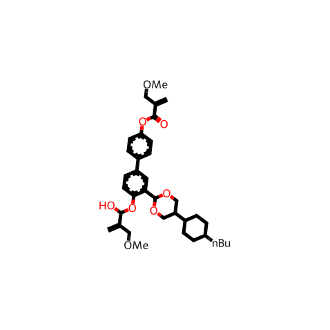 C=C(COC)C(=O)Oc1ccc(-c2ccc(OC(O)C(=C)COC)c(C3OCC(C4CCC(CCCC)CC4)CO3)c2)cc1